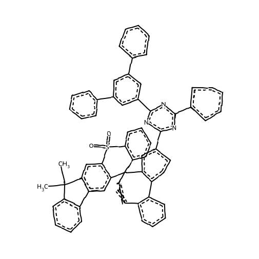 CC1(C)c2ccccc2-c2cc3c(cc21)S(=O)(=O)c1ccccc1C31c2ccccc2-c2ccccc2-c2ccc(-c3nc(-c4ccccc4)nc(-c4cc(-c5ccccc5)cc(-c5ccccc5)c4)n3)cc21